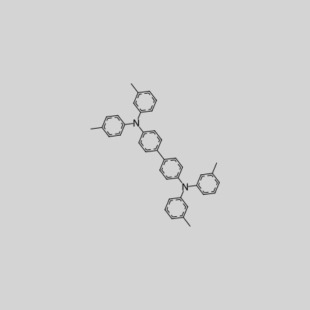 Cc1ccc(N(c2ccc(-c3ccc(N(c4cccc(C)c4)c4cccc(C)c4)cc3)cc2)c2cccc(C)c2)cc1